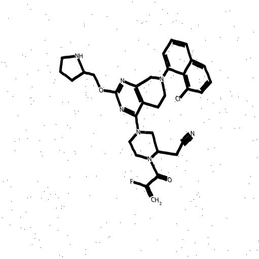 C=C(F)C(=O)N1CCN(c2nc(OCC3CCCN3)nc3c2CCN(c2cccc4cccc(Cl)c24)C3)CC1CC#N